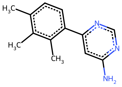 Cc1ccc(-c2cc(N)ncn2)c(C)c1C